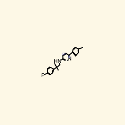 C=C(/C=C\C(=N/C)c1ccc(C)cc1)NCC(C)(C)c1ccc(F)cc1